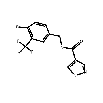 O=C(NCc1ccc(F)c(C(F)(F)F)c1)c1cn[nH]c1